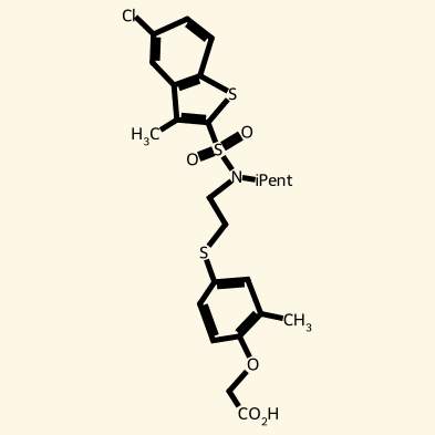 CCCC(C)N(CCSc1ccc(OCC(=O)O)c(C)c1)S(=O)(=O)c1sc2ccc(Cl)cc2c1C